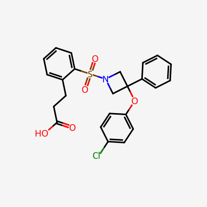 O=C(O)CCc1ccccc1S(=O)(=O)N1CC(Oc2ccc(Cl)cc2)(c2ccccc2)C1